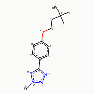 CCCC(C)(C)CCOc1ccc(-c2nnn(CC)n2)cc1